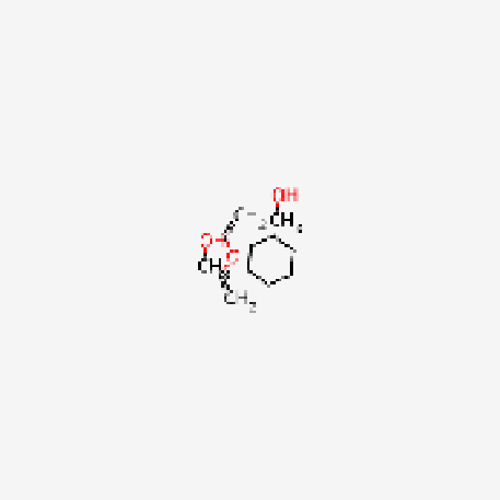 C1CCCCC1.C=COC=C.CO.CO